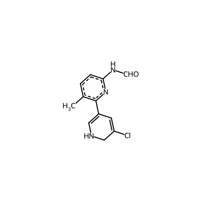 Cc1ccc(NC=O)nc1C1=CNCC(Cl)=C1